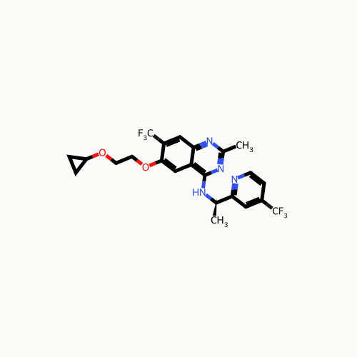 Cc1nc(N[C@H](C)c2cc(C(F)(F)F)ccn2)c2cc(OCCOC3CC3)c(C(F)(F)F)cc2n1